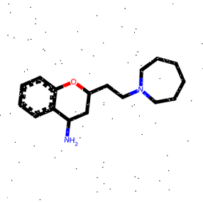 NC1CC(CCN2CCCCCC2)Oc2ccccc21